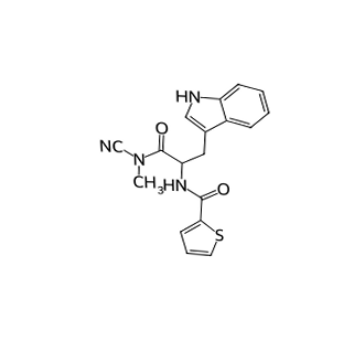 CN(C#N)C(=O)C(Cc1c[nH]c2ccccc12)NC(=O)c1cccs1